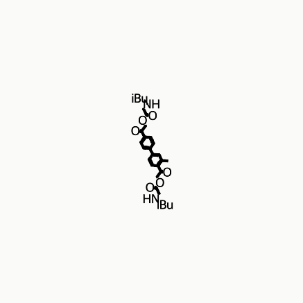 CC[C@H](C)NCC(=O)OCC(=O)c1ccc(-c2ccc(C(=O)COC(=O)CN[C@@H](C)CC)c(C)c2)cc1